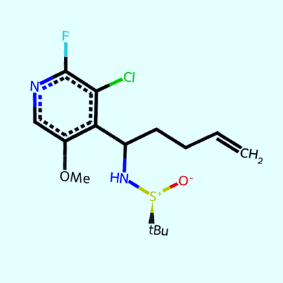 C=CCCC(N[S@@+]([O-])C(C)(C)C)c1c(OC)cnc(F)c1Cl